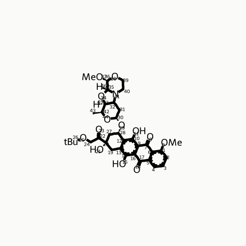 COc1cccc2c1C(=O)c1c(O)c3c(c(O)c1C2=O)C[C@@](O)(C(=O)COC(C)(C)C)C[C@@H]3O[C@H]1CC2[C@H](O[C@@H]3[C@@H](OC)OCCN23)[C@H](C)O1